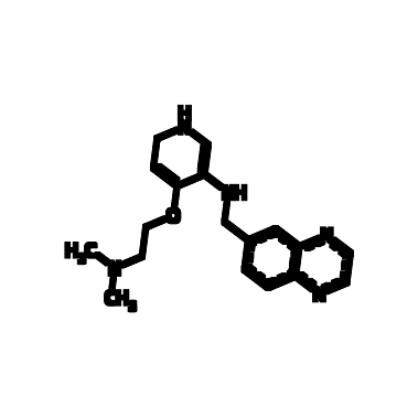 CN(C)CCOC1=CCNC=C1NCc1ccc2nccnc2c1